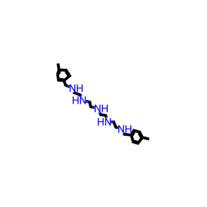 Cc1ccc(CNCCNCCNCCNCCNCc2ccc(C)cc2)cc1